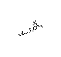 CC1=C[PH](=O)Oc2cc(NC(=O)CCCCCNC=O)ccc21